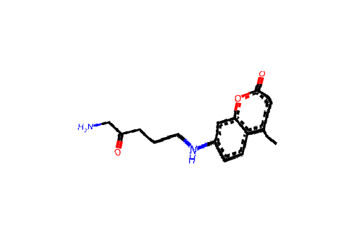 Cc1cc(=O)oc2cc(NCCCC(=O)CN)ccc12